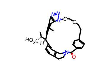 Cc1c2ccc3c1nnn3CCCCCc1ccc(cc1)C(=O)N1CCc3ccc(cc3C1)[C@H]2[C@@H](C)C(=O)O